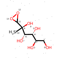 OC[C@@H](O)[C@@H](O)[C@H](O)[C@](O)([SiH3])C1OO1